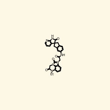 CCN1C(=O)Cn2c(=O)n(CC(=O)Nc3ccc4c(c3)CC3(C4)C(=O)Nc4ncccc43)c3cccc1c32